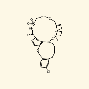 C=C1CCCCCS(=O)(=O)NC(=O)c2ccc3c(c2)N(CCCCc2cc(Cl)ccc2CO3)C[C@@H]2CC[C@@H]12